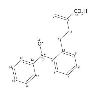 C=C(CCc1ccccc1[S+]([O-])c1ccccc1)C(=O)O